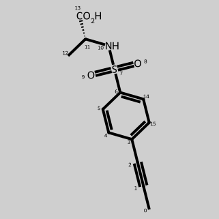 CC#Cc1ccc(S(=O)(=O)N[C@H](C)C(=O)O)cc1